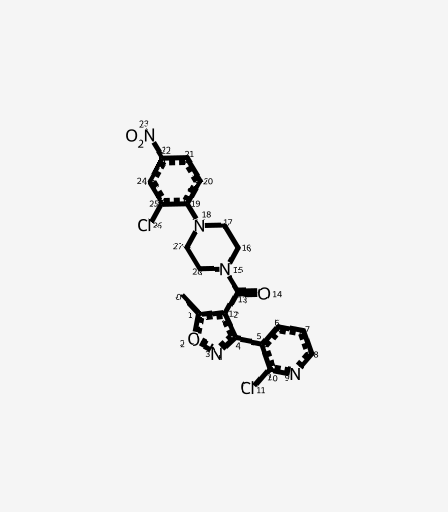 Cc1onc(-c2cccnc2Cl)c1C(=O)N1CCN(c2ccc([N+](=O)[O-])cc2Cl)CC1